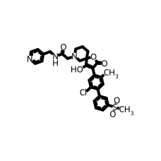 Cc1cc(-c2cccc(S(C)(=O)=O)c2)c(Cl)cc1C1=C(O)C2(CCCN(CC(=O)NCc3ccncc3)C2)OC1=O